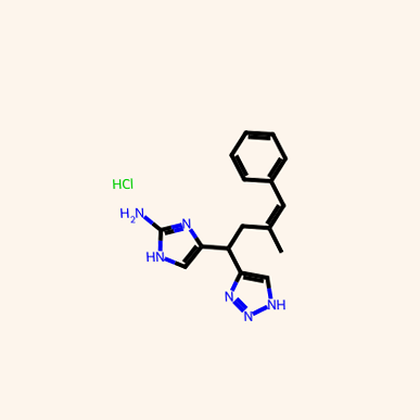 CC(=Cc1ccccc1)CC(c1c[nH]nn1)c1c[nH]c(N)n1.Cl